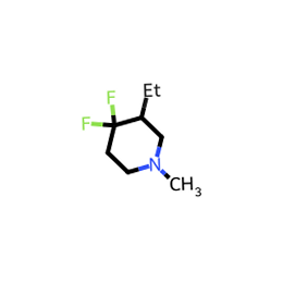 CCC1CN(C)CCC1(F)F